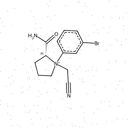 N#CC[N+]1(c2cccc(Br)c2)CCC[C@@H]1C(N)=O